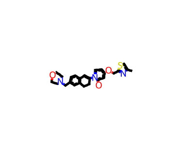 Cc1csc(COc2ccn(C3=Cc4ccc(CN5CCOCC5)cc4CC3)c(=O)c2)n1